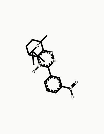 CC12CCC(c3c1nnc(-c1cccc([N+](=O)[O-])c1)[n+]3[O-])C(C)(C)O2